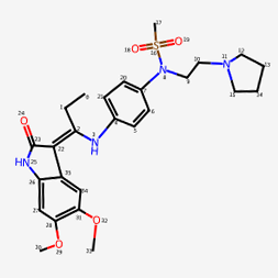 CCC(Nc1ccc(N(CCN2CCCC2)S(C)(=O)=O)cc1)=C1C(=O)Nc2cc(OC)c(OC)cc21